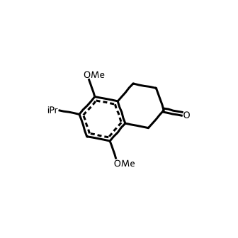 COc1cc(C(C)C)c(OC)c2c1CC(=O)CC2